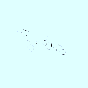 CC(=O)c1cn(CC(=O)N2C[C@H](F)C[C@H]2C(=O)Nc2cccc(Br)n2)c2ccc(-c3cnc4cc(C)nn4c3)cc12